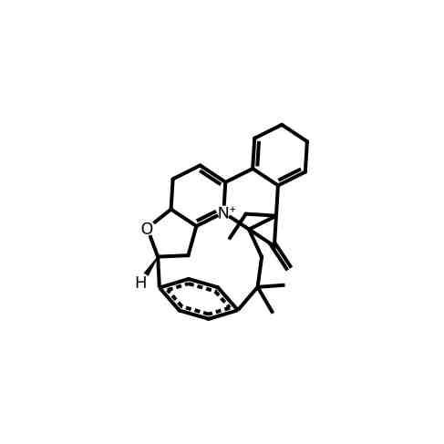 C=C1C2(CC)C3=CCCC=C3C3=CCC4O[C@@H]5CC4=[N+]3C12CC(C)(C)c1ccc5cc1